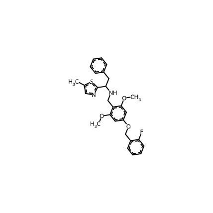 COc1cc(OCc2ccccc2F)cc(OC)c1CNC(Cc1ccccc1)c1ncc(C)s1